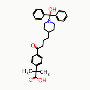 CC(C)(C(=O)O)c1ccc(C(=O)CCCC2CCN(C(O)(c3ccccc3)c3ccccc3)CC2)cc1